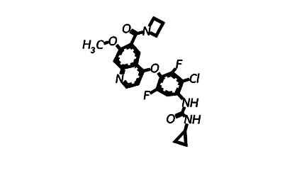 COc1cc2nccc(Oc3c(F)cc(NC(=O)NC4CC4)c(Cl)c3F)c2cc1C(=O)N1CCC1